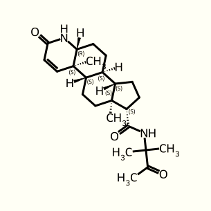 CC(=O)C(C)(C)NC(=O)[C@H]1CC[C@H]2[C@@H]3CC[C@H]4NC(=O)C=C[C@]4(C)[C@H]3CC[C@]12C